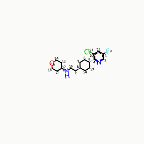 Fc1cnc([C@H]2CC[C@H](CCNC3CCOCC3)CC2)c(Cl)c1